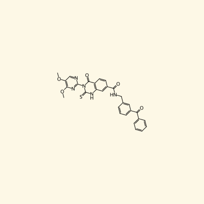 COc1cnc(-n2c(=S)[nH]c3cc(C(=O)NCc4cccc(C(=O)c5ccccc5)c4)ccc3c2=O)nc1OC